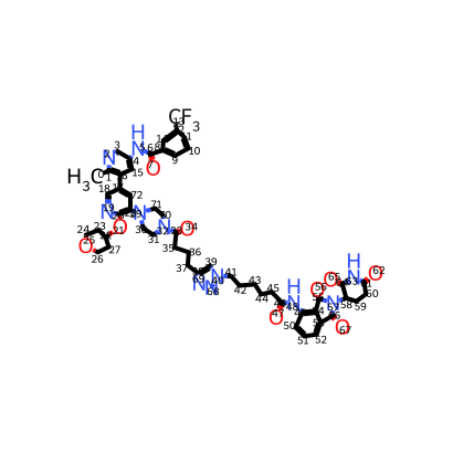 Cc1ncc(NC(=O)c2cccc(C(F)(F)F)c2)cc1-c1cnc(OC2CCOCC2)c(N2CCN(C(=O)CCCc3cn(CCCCCC(=O)Nc4cccc5c4C(=O)N(C4CCC(=O)NC4=O)C5=O)nn3)CC2)c1